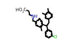 Cc1ccc(CC(c2cccc(Cl)c2)c2ccc(CNCCC(=O)O)cc2C)cc1C